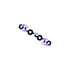 O=C(Nc1ccc(CNc2ccc(NC(=O)[C@@H]3CCCN3)cc2)cc1)[C@@H]1CCCN1